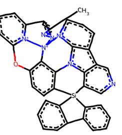 Cc1cc2n(n1)[N+]13c4c(ccc5c4-n4c6c(cncc6c6ccc[n+]1c64)[Si]51c4ccccc4-c4ccccc41)Oc1cccc-2[n+]13